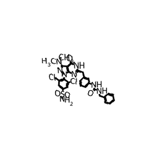 CN(C)c1nn(-c2c(Cl)cc(S(N)(=O)=O)cc2Cl)c2nc(Cc3cccc(NC(=O)NCc4ccccc4)c3)[nH]c(=O)c12